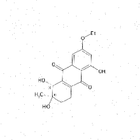 CCOc1cc(O)c2c(c1)C(=O)C1=C(CC[C@@](C)(O)[C@@H]1O)C2=O